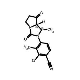 Cc1c(N2C(=O)N3CCC(=O)[C@@H]3[C@H]2C)ccc(C#N)c1Cl